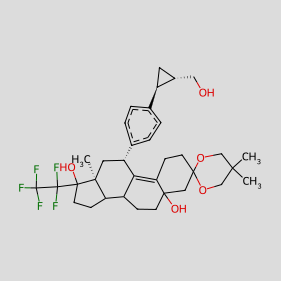 CC1(C)COC2(CCC3=C4C(CCC3(O)C2)C2CCC(O)(C(F)(F)C(F)(F)F)[C@@]2(C)C[C@@H]4c2ccc([C@H]3C[C@@H]3CO)cc2)OC1